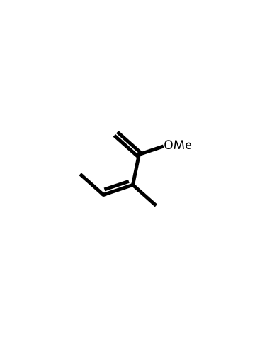 C=C(OC)/C(C)=C\C